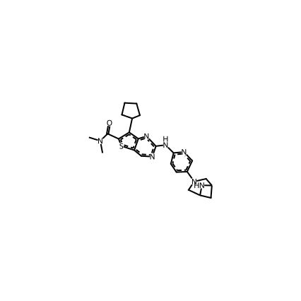 CN(C)C(=O)c1sc2cnc(Nc3ccc(N4CC5CC(C4)N5)cn3)nc2c1C1CCCC1